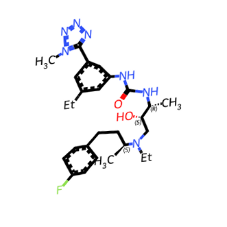 CCc1cc(NC(=O)N[C@H](C)[C@@H](O)CN(CC)[C@@H](C)CCc2ccc(F)cc2)cc(-c2nnnn2C)c1